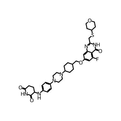 O=C1CCC(Nc2ccc(N3CCN(C4CCC(COc5cc(F)c6c(=O)[nH]c(CSC7CCOCC7)nc6c5)CC4)CC3)cc2)C(=O)N1